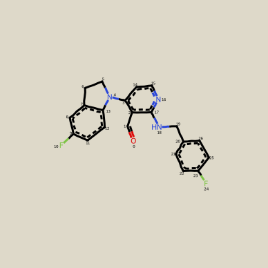 O=Cc1c(N2CCc3cc(F)ccc32)ccnc1NCc1ccc(F)cc1